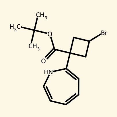 CC(C)(C)OC(=O)C1(C2=CC=CC=CN2)CC(Br)C1